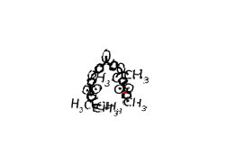 CCC(C)(CC)c1ccc(S(=O)(=O)c2ccc(Oc3ccc(C(=O)c4ccc(OC(CC)(CC)c5ccc(S(=O)(=O)c6ccc(C)cc6)cc5)cc4)cc3)cc2)cc1